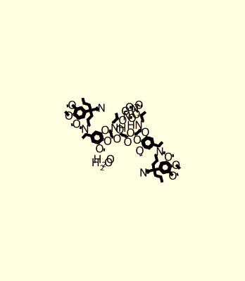 CCCC(C#N)(CCCN(C)C(C)c1ccc(OC(OC(=O)C(=O)OC(Oc2ccc(C(C)N(C)CCCC(C#N)(CCC)c3cc(OC)c(OC)c(OC)c3)cc2OC)C(=O)NCC(C)O[N+](=O)[O-])C(=O)NCC(C)O[N+](=O)[O-])c(OC)c1)c1cc(OC)c(OC)c(OC)c1.O.O